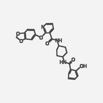 O=C(NC1CCC(NC(=O)c2cccnc2Oc2ccc3c(c2)OCO3)CC1)c1ccccc1O